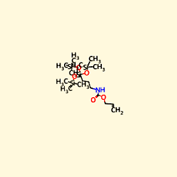 C=CCOC(=O)NCCC[Si](O[Si](C)(C)C)(O[Si](C)(C)C)O[Si](C)(C)C